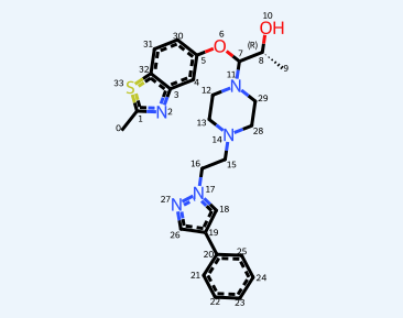 Cc1nc2cc(OC([C@@H](C)O)N3CCN(CCn4cc(-c5ccccc5)cn4)CC3)ccc2s1